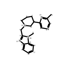 Cc1cncc(C2CCCN(Cc3nc4ccccc4n3C)C2)n1